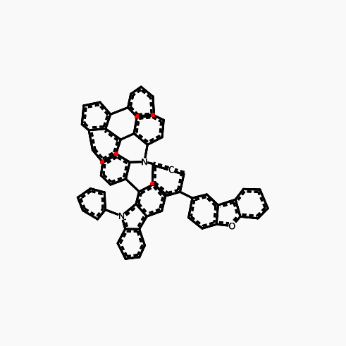 c1ccc(-c2cccc3cccc(-c4ccccc4N(c4ccc(-c5ccc6oc7ccccc7c6c5)cc4)c4ccccc4-c4cccc5c6ccccc6n(-c6ccccc6)c45)c23)cc1